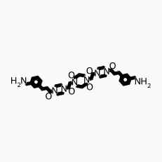 NCc1cccc(CCC(=O)N2CCN(C(=O)CN3CCC(=O)N(CC(=O)N4CCN(C(=O)CCc5cccc(CN)c5)CC4)CCC3=O)CC2)c1